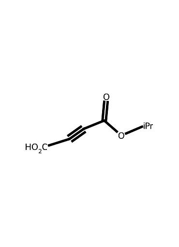 CC(C)OC(=O)C#CC(=O)O